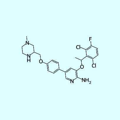 CC(Oc1cc(-c2ccc(OCC3CN(C)CCN3)cc2)cnc1N)c1c(Cl)ccc(F)c1Cl